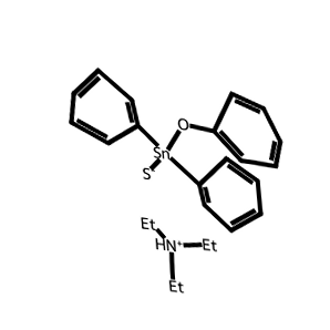 CC[NH+](CC)CC.[S-][Sn]([O]c1ccccc1)([c]1ccccc1)[c]1ccccc1